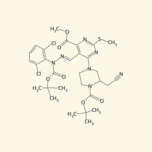 COC(=O)c1nc(SC)nc(N2CCN(C(=O)OC(C)(C)C)C(CC#N)C2)c1/C=N/N(C(=O)OC(C)(C)C)c1c(Cl)cccc1Cl